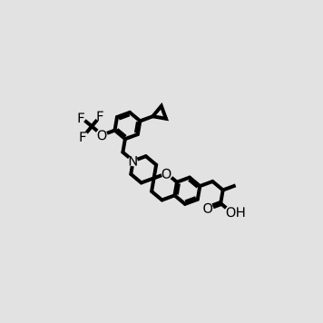 CC(Cc1ccc2c(c1)OC1(CC2)CCN(Cc2cc(C3CC3)ccc2OC(F)(F)F)CC1)C(=O)O